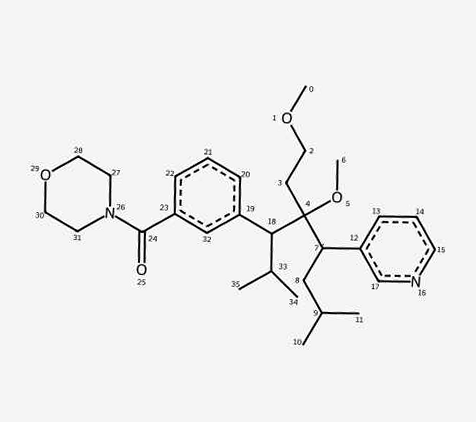 COCCC(OC)([C](CC(C)C)c1cccnc1)C(c1cccc(C(=O)N2CCOCC2)c1)C(C)C